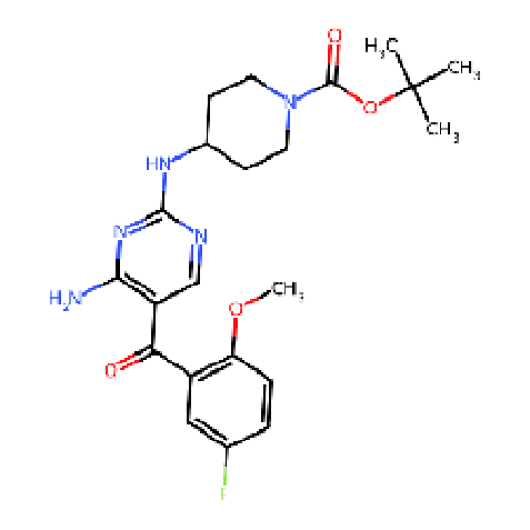 COc1ccc(F)cc1C(=O)c1cnc(NC2CCN(C(=O)OC(C)(C)C)CC2)nc1N